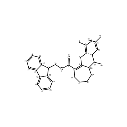 CC(C)=CCC1=C(C(=O)OCC2c3ccccc3-c3ccccc32)CCCCC1C(C)CC=C(C)C